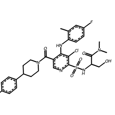 Cc1cc(F)ccc1Nc1c(C(=O)N2CCC(c3ccc(F)cc3)CC2)cnc(S(=O)(=O)NC(CO)C(=O)N(C)C)c1Cl